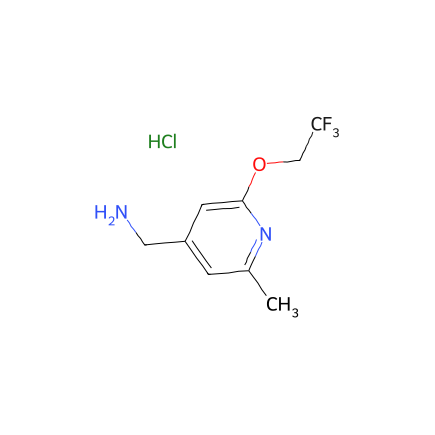 Cc1cc(CN)cc(OCC(F)(F)F)n1.Cl